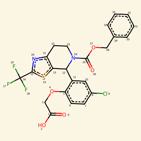 O=C(O)COc1ccc(Cl)cc1C1c2sc(C(F)(F)F)nc2CCN1C(=O)OCc1ccccc1